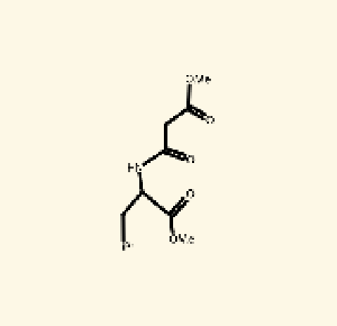 COC(=O)CC(=O)NC(CC(C)C)C(=O)OC